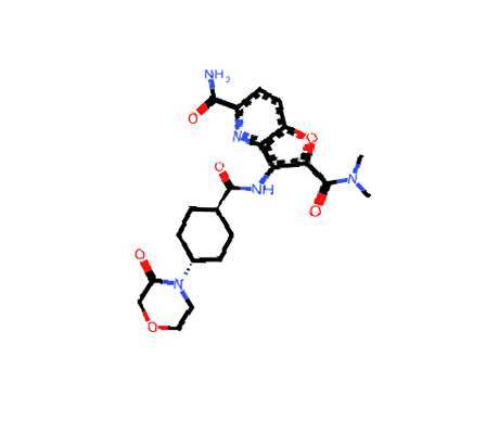 CN(C)C(=O)c1oc2ccc(C(N)=O)nc2c1NC(=O)[C@H]1CC[C@H](N2CCOCC2=O)CC1